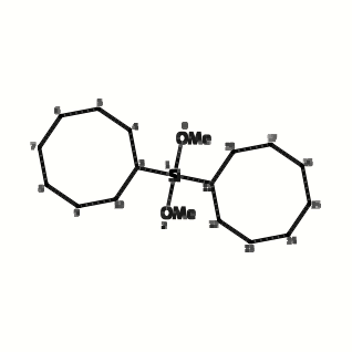 CO[Si](OC)(C1CCCCCCC1)C1CCCCCCC1